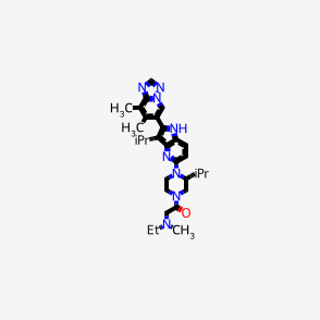 CCN(C)CC(=O)N1CCN(c2ccc3[nH]c(-c4cn5ncnc5c(C)c4C)c(C(C)C)c3n2)C(C(C)C)C1